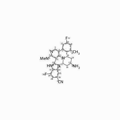 CNc1ncc(-c2cc(C)cc(F)c2)c(N2CCC(N)CC2)c1-c1nc2cc(C#N)cc(F)c2[nH]1